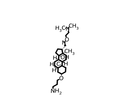 CN(C)CCON=C[C@H]1CC[C@]2(O)[C@@H]3CC[C@@H]4C[C@@H](OCCCN)CC[C@]4(C)[C@H]3CC[C@]12C